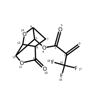 C=C(C(=O)OC1C2CC3C(=O)OC1C3O2)C(F)(F)F